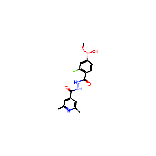 COB(O)c1ccc(C(=O)NNC(=O)c2cc(C)nc(C)c2)c(F)c1